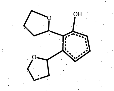 Oc1cccc(C2CCCO2)c1C1CCCO1